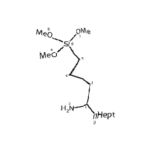 CCCCCCCC(N)CCC[Si](OC)(OC)OC